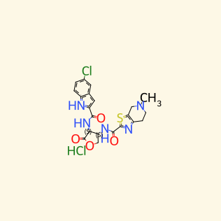 CN1CCc2nc(C(=O)N[C@@H]3COC(=O)[C@H]3NC(=O)c3cc4cc(Cl)ccc4[nH]3)sc2C1.Cl